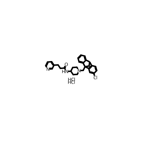 Cl.Cl.O=C(CCc1cccnc1)NC1CCN(CC23CC(c4ccccc42)c2ccc(Cl)cc23)CC1